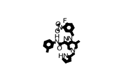 Cc1cccc(NC(=O)c2nn(Cc3ccc(F)c([N+](=O)[O-])c3)c3c2CN(Cc2ccc[nH]2)CC3C)c1